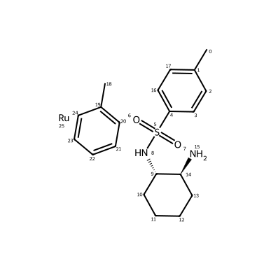 Cc1ccc(S(=O)(=O)N[C@H]2CCCC[C@@H]2N)cc1.Cc1ccccc1.[Ru]